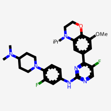 COc1cc(-c2nc(Nc3ccc(N4CCC(N(C)C)CC4)c(F)c3)ncc2F)cc2c1OCCN2C(C)C